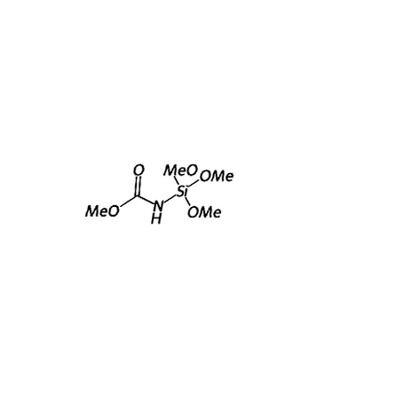 COC(=O)N[Si](OC)(OC)OC